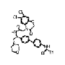 CCC(=O)Nc1ccc(-c2ccc(C(CN3CCOCC3)N(C)C(=O)CN3C(=O)COc4cc(Cl)c(Cl)cc43)cc2)cc1